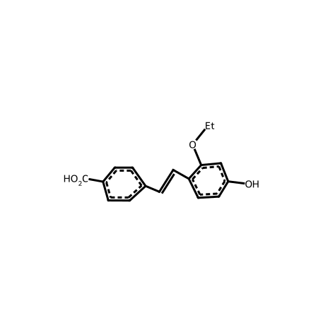 CCOc1cc(O)ccc1C=Cc1ccc(C(=O)O)cc1